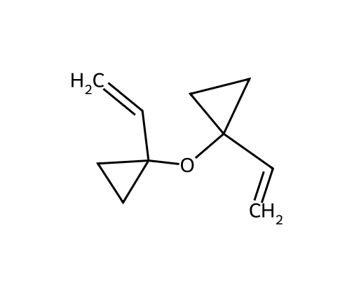 C=CC1(OC2(C=C)CC2)CC1